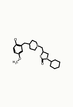 COc1ccc(Cl)c(CC2CCN(CC3CN(C4CCCCC4)C(=O)S3)CC2)c1